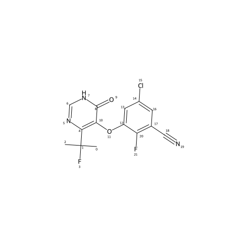 CC(C)(F)c1nc[nH]c(=O)c1Oc1cc(Cl)cc(C#N)c1F